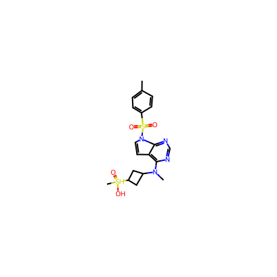 Cc1ccc(S(=O)(=O)n2ccc3c(N(C)C4CC([SH](C)(=O)O)C4)ncnc32)cc1